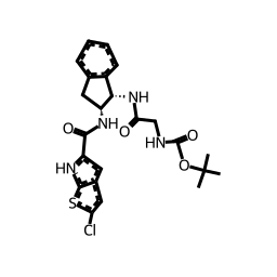 CC(C)(C)OC(=O)NCC(=O)N[C@H]1c2ccccc2C[C@H]1NC(=O)c1cc2cc(Cl)sc2[nH]1